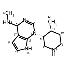 CNC1N=CN([C@H]2CNCC[C@H]2C)c2[nH]ccc21